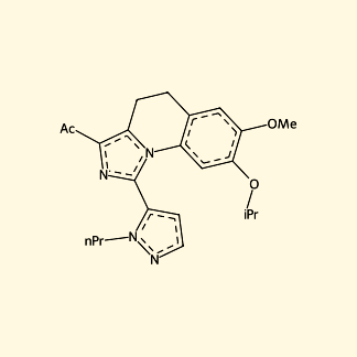 CCCn1nccc1-c1nc(C(C)=O)c2n1-c1cc(OC(C)C)c(OC)cc1CC2